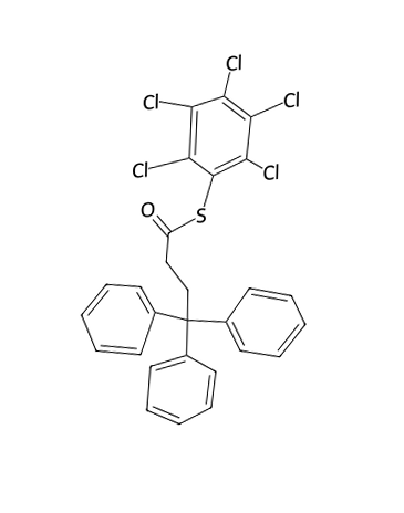 O=C(CCC(c1ccccc1)(c1ccccc1)c1ccccc1)Sc1c(Cl)c(Cl)c(Cl)c(Cl)c1Cl